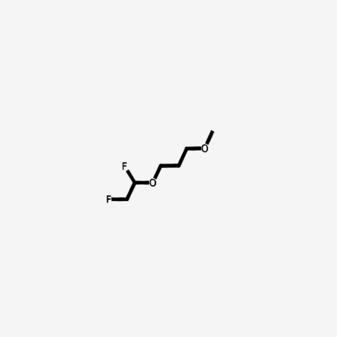 COCCCOC(F)CF